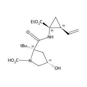 C=C[C@@H]1C[C@]1(NC(=O)[C@@]1(C(C)(C)C)C[C@H](O)CN1C(=O)O)C(=O)OCC